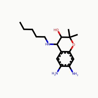 CCCCCNC1c2cc(N)c(N)cc2OC(C)(C)C1O